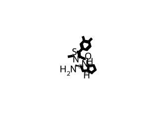 Cc1nc(C(=O)N2[C@H](CN)C[C@@H]3CCC[C@@H]32)c(-c2ccc(C)c(C)c2)s1